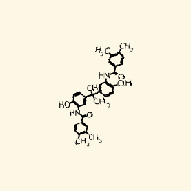 Cc1ccc(C(=O)Nc2cc(C(C)(C)c3ccc(O)c(NC(=O)c4ccc(C)c(C)c4)c3)ccc2O)cc1C